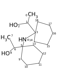 CC(O)C1(NC2(C(C)O)CCCCC2)CCCCC1